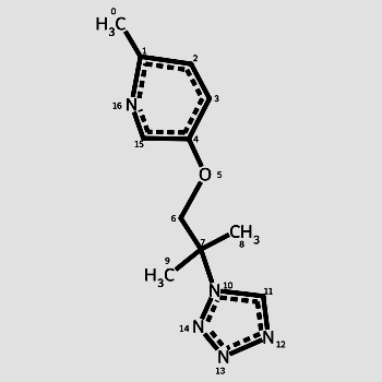 Cc1ccc(OCC(C)(C)n2cnnn2)cn1